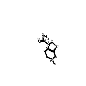 CN1CCC2=C(C1)S[CH]N2C(N)=O